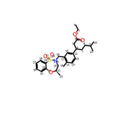 CCOC(=O)CC(CCC(C)C)c1ccc(C)c(CN2C[C@@H](C)Oc3ccccc3S2(=O)=O)c1